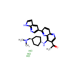 CC(=O)c1cnc2ccc(-c3cnc4[nH]ccc4c3)nc2c1N[C@H]1CC[C@H](CN(C)C)CC1.Cl.Cl.Cl